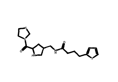 O=C(CCCc1cccs1)NCC1CNC(C(=O)N2CCSC2)C1